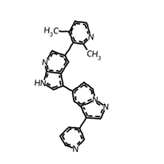 Cc1ccnc(C)c1-c1cnc2[nH]cc(-c3ccn4ncc(-c5cccnc5)c4c3)c2c1